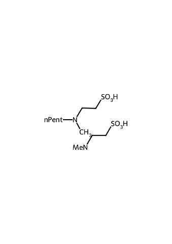 CCCCCN(C)CCS(=O)(=O)O.CNCCS(=O)(=O)O